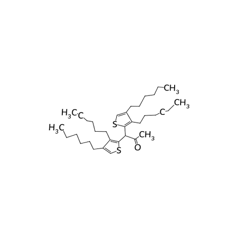 CCCCCCc1csc(C(C(C)=O)c2scc(CCCCCC)c2CCCCCC)c1CCCCCC